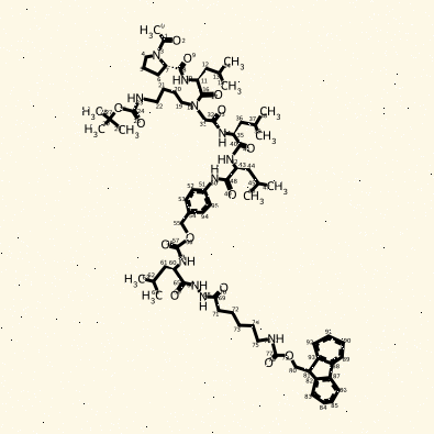 CC(=O)N1CCC[C@H]1C(=O)N[C@@H](CC(C)C)C(=O)N(CCCCNC(=O)OC(C)(C)C)CC(=O)N[C@@H](CC(C)C)C(=O)N[C@@H](CC(C)C)C(=O)Nc1ccc(COC(=O)N[C@H](CC(C)C)C(=O)NNC(=O)CCCCCNC(=O)OCC2c3ccccc3-c3ccccc32)cc1